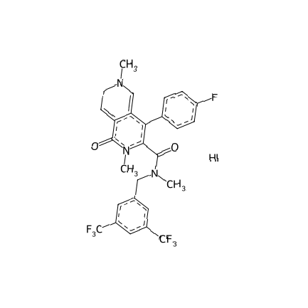 CN1C=c2c(-c3ccc(F)cc3)c(C(=O)N(C)Cc3cc(C(F)(F)F)cc(C(F)(F)F)c3)n(C)c(=O)c2=CC1.I